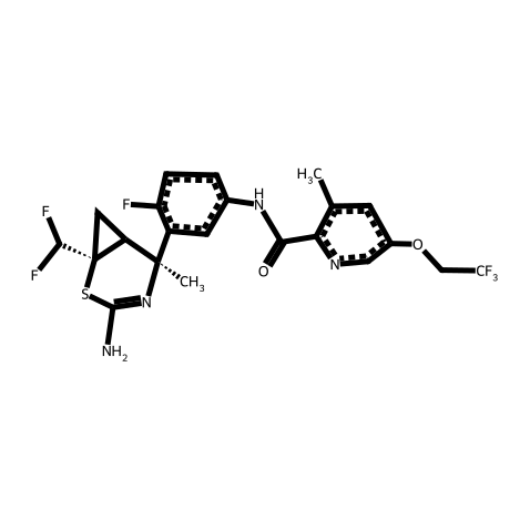 Cc1cc(OCC(F)(F)F)cnc1C(=O)Nc1ccc(F)c([C@@]2(C)N=C(N)S[C@@]3(C(F)F)CC32)c1